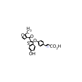 Cc1occc1C(=O)c1sc2cc(O)ccc2c1Oc1ccc(/C=C/C(=O)O)cc1